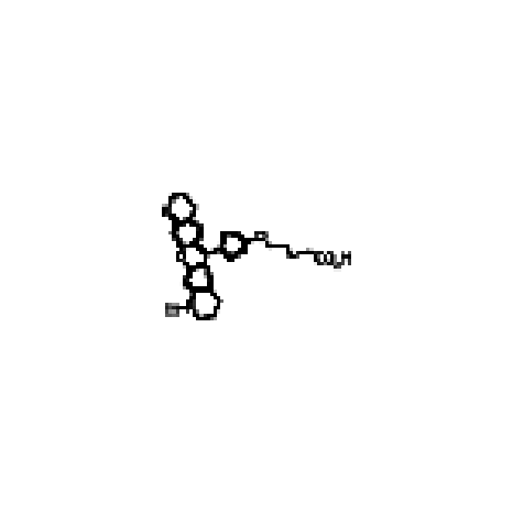 CCN1CCCc2cc3c(cc21)Oc1cc2c(cc1=C3c1ccc(OCCCCC(=O)O)cc1)CCCN=2